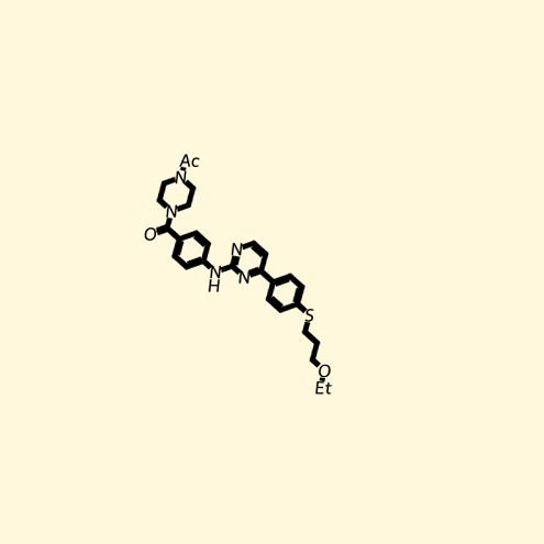 CCOCCCSc1ccc(-c2ccnc(Nc3ccc(C(=O)N4CCN(C(C)=O)CC4)cc3)n2)cc1